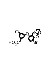 O=C(O)Cc1cc(Cl)cc(Oc2ccc(Br)cc2CN2CCOC2=O)c1